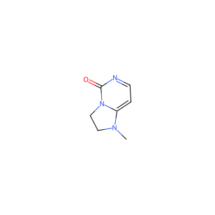 CN1CCn2c1ccnc2=O